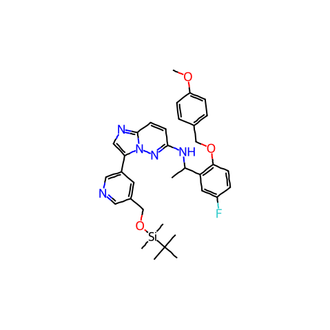 COc1ccc(COc2ccc(F)cc2C(C)Nc2ccc3ncc(-c4cncc(CO[Si](C)(C)C(C)(C)C)c4)n3n2)cc1